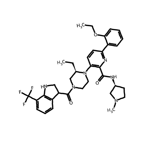 CCOc1ccccc1-c1ccc(N2CCN(C(=O)C3CNc4c3cccc4C(F)(F)F)C[C@H]2CC)c(C(=O)N[C@H]2CCN(C)C2)n1